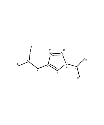 CC(I)Cc1cn(C(C)C)nn1